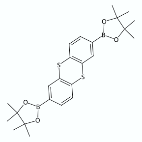 CC1(C)OB(c2ccc3c(c2)Sc2ccc(B4OC(C)(C)C(C)(C)O4)cc2S3)OC1(C)C